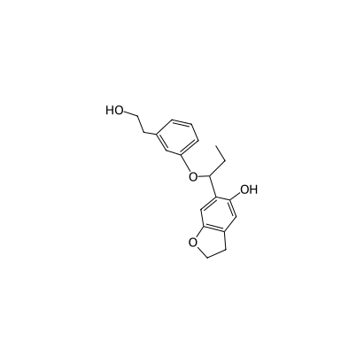 CCC(Oc1cccc(CCO)c1)c1cc2c(cc1O)CCO2